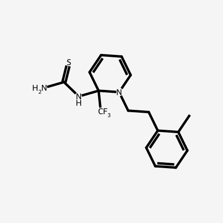 Cc1ccccc1CCN1C=CC=CC1(NC(N)=S)C(F)(F)F